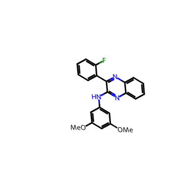 COc1cc(Nc2nc3ccccc3nc2-c2ccccc2F)cc(OC)c1